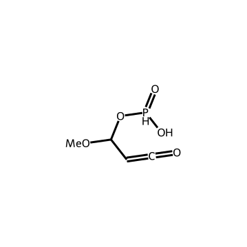 COC(C=C=O)O[PH](=O)O